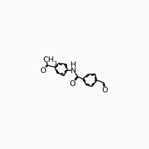 CC(=O)c1ccc(NC(=O)c2ccc(C=O)cc2)cc1